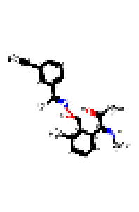 C#Cc1cccc(/C(C)=N/OCc2c(C)cccc2/C(=N\OC)C(=O)NC)c1